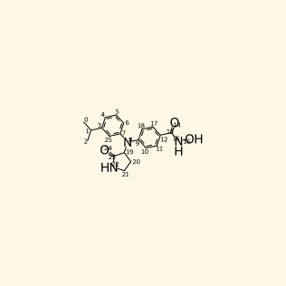 CC(C)c1cccc(N(c2ccc(C(=O)NO)cc2)C2CCNC2=O)c1